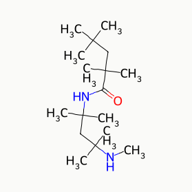 CNC(C)(C)CC(C)(C)NC(=O)C(C)(C)CC(C)(C)C